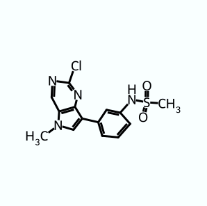 Cn1cc(-c2cccc(NS(C)(=O)=O)c2)c2nc(Cl)ncc21